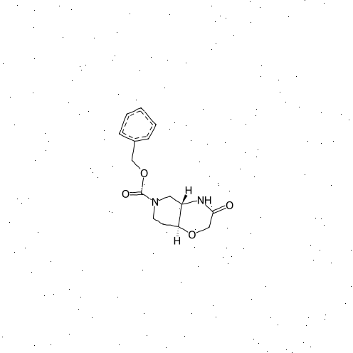 O=C1CO[C@H]2CCN(C(=O)OCc3ccccc3)C[C@@H]2N1